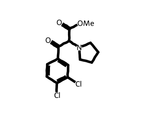 COC(=O)C(C(=O)c1ccc(Cl)c(Cl)c1)N1CCCC1